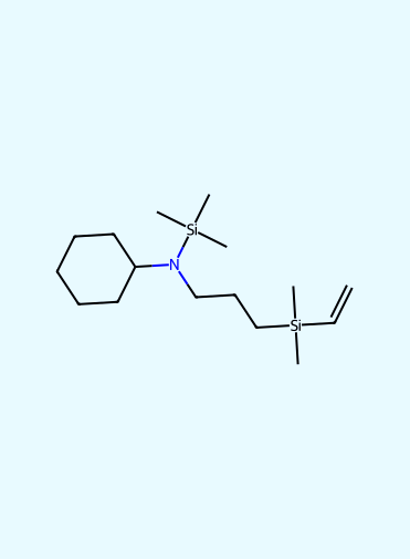 C=C[Si](C)(C)CCCN(C1CCCCC1)[Si](C)(C)C